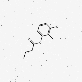 CCCC(=O)Oc1cccc(Cl)c1C